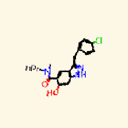 CCCN(C)C(=O)c1cc2c(Cc3ccc(Cl)cc3)n[nH]c2cc1O